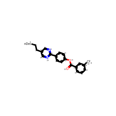 CCCCCCCCCCCCc1cnc(-c2ccc(OC(=O)c3cccc(C(F)(F)F)c3)cc2)nc1